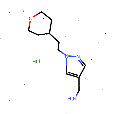 Cl.NCc1cnn(CCC2CCOCC2)c1